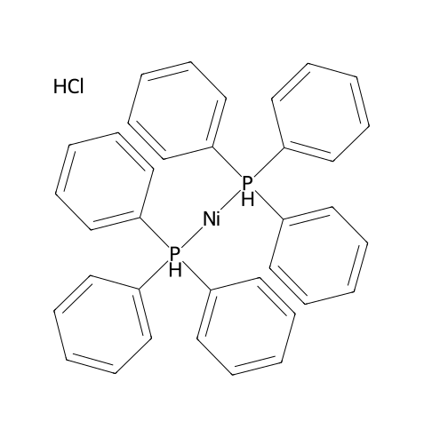 Cl.c1ccc([PH]([Ni][PH](c2ccccc2)(c2ccccc2)c2ccccc2)(c2ccccc2)c2ccccc2)cc1